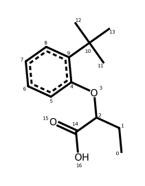 CCC(Oc1ccccc1C(C)(C)C)C(=O)O